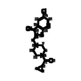 O=C(C1CC1)N1CCN(Cn2sc3ncc(Cl)cc3c2=O)CC1